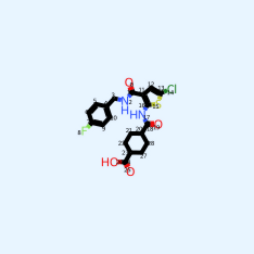 O=C(NCc1ccc(F)cc1)c1cc(Cl)sc1NC(=O)C1CCC(C(=O)O)CC1